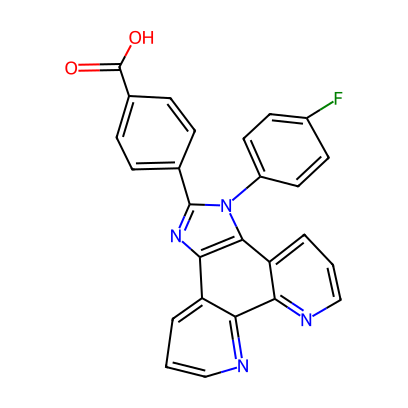 O=C(O)c1ccc(-c2nc3c4cccnc4c4ncccc4c3n2-c2ccc(F)cc2)cc1